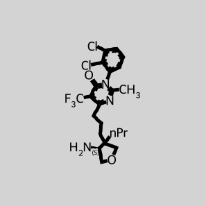 CCCC1(CCCc2nc(C)n(-c3cccc(Cl)c3Cl)c(=O)c2C(F)(F)F)COC[C@H]1N